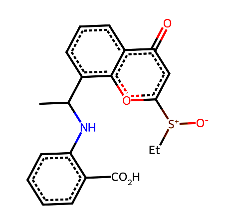 CC[S+]([O-])c1cc(=O)c2cccc(C(C)Nc3ccccc3C(=O)O)c2o1